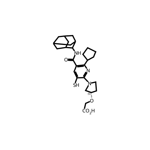 O=C(O)CO[C@H]1CCN(c2nc(C3CCCC3)c(C(=O)NC3C4CC5CC(C4)CC3C5)cc2S)C1